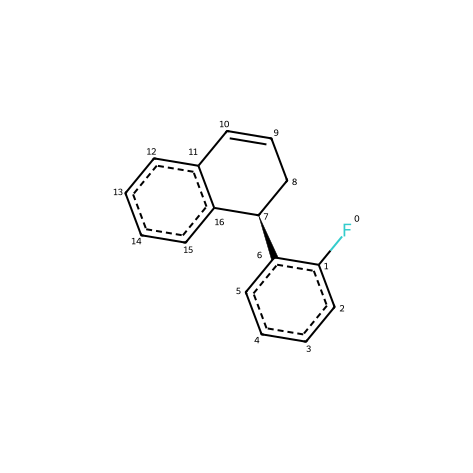 Fc1ccccc1[C@@H]1CC=Cc2ccccc21